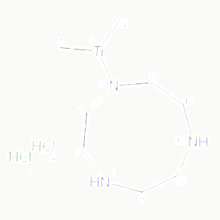 Cl.Cl.[CH3][Ti]([CH3])[N]1CCNCCNCC1